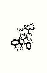 C[C@H](NC(=O)c1c(N)nn2cnccc12)c1nc2cccc(Cl)c2c(=O)n1-c1ccccc1